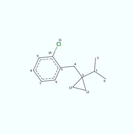 CC(C)C1(Cc2ccccc2Cl)CC1